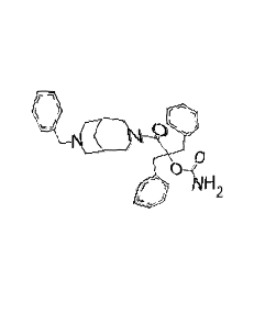 NC(=O)OC(Cc1ccccc1)(Cc1ccccc1)C(=O)N1CC2CC(CN(Cc3ccccc3)C2)C1